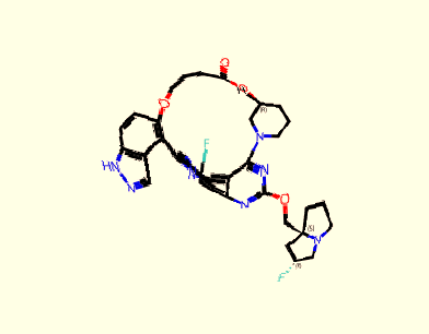 O=C1CCCOc2ccc3[nH]ncc3c2-c2ncc3c(nc(OC[C@@]45CCCN4C[C@H](F)C5)nc3c2F)N2CCC[C@H](C2)O1